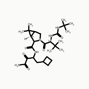 CC(C)(C)NC(=O)N[C@H](C(=O)N1CC2[C@@H](C1C(=O)NC(CC1CCC1)C(=O)C(N)=O)C2(C)C)C(C)(C)C